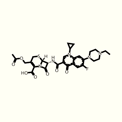 CCN1CCN(c2cc3c(cc2F)c(=O)c(C(=O)N[C@@H]2C(=O)N4C(C(=O)O)=C(COC(C)=O)CS[C@H]24)cn3C2CC2)CC1